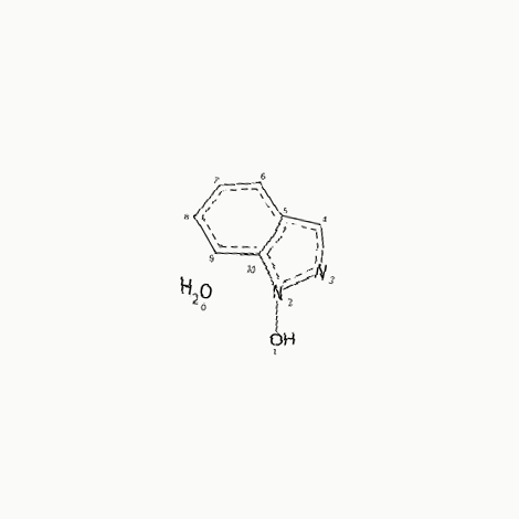 O.On1ncc2ccccc21